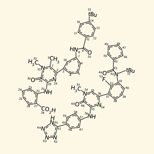 Cc1c(-c2cccc(NC(=O)c3ccc(C(C)(C)C)cc3)c2)nc(Nc2ccccc2C(=O)O)c(=O)n1C.Cn1cc(-c2cccc(N(C(=O)c3ccccc3)C(C)(C)C)c2F)nc(Nc2ccc(-c3nnn[nH]3)cc2)c1=O